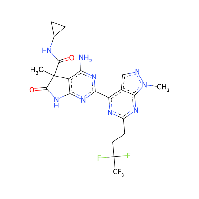 Cn1ncc2c(-c3nc(N)c4c(n3)NC(=O)C4(C)C(=O)NC3CC3)nc(CCC(F)(F)C(F)(F)F)nc21